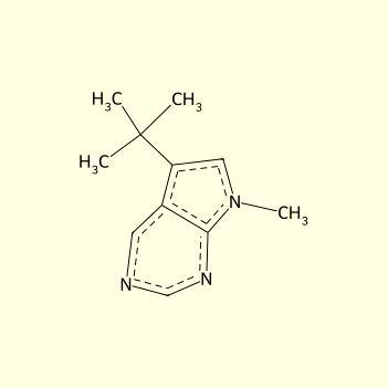 Cn1cc(C(C)(C)C)c2cncnc21